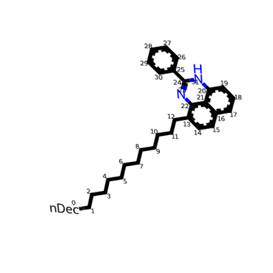 CCCCCCCCCCCCCCCCCCCCCCc1ccc2cccc3c2c1N=C(c1ccccc1)N3